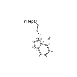 CCCCCCCCCC[n+]1csc2ccccc21.[I-]